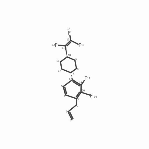 C=CCc1ccc([C@H]2CC[C@H](C(F)=C(F)F)CC2)c(F)c1F